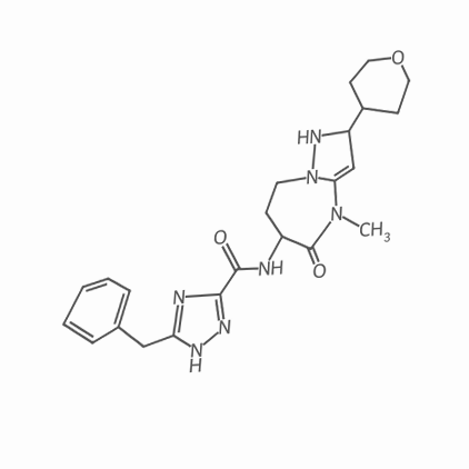 CN1C(=O)C(NC(=O)c2n[nH]c(Cc3ccccc3)n2)CCN2NC(C3CCOCC3)C=C21